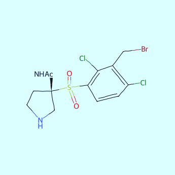 CC(=O)N[C@]1(S(=O)(=O)c2ccc(Cl)c(CBr)c2Cl)CCNC1